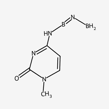 BN=BNc1ccn(C)c(=O)n1